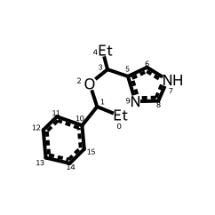 CCC(OC(CC)c1c[nH]cn1)c1ccccc1